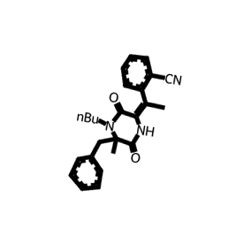 CCCCN1C(=O)C(=C(C)c2ccccc2C#N)NC(=O)C1(C)Cc1ccccc1